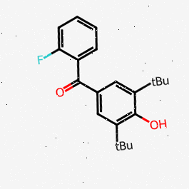 CC(C)(C)c1cc(C(=O)c2ccccc2F)cc(C(C)(C)C)c1O